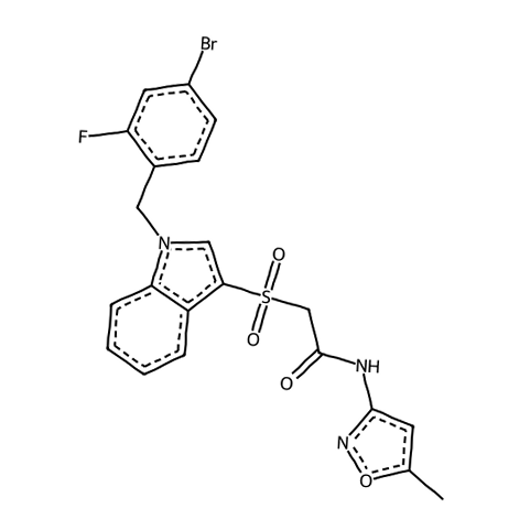 Cc1cc(NC(=O)CS(=O)(=O)c2cn(Cc3ccc(Br)cc3F)c3ccccc23)no1